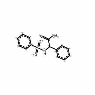 NC(=O)C(NS(=O)(=O)c1ccccc1)c1ccccc1